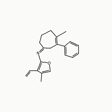 C=Cc1c(C)coc1/N=C1/CCCC(C)=C(c2ccccc2)C1